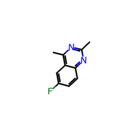 Cc1nc(C)c2cc(F)ccc2n1